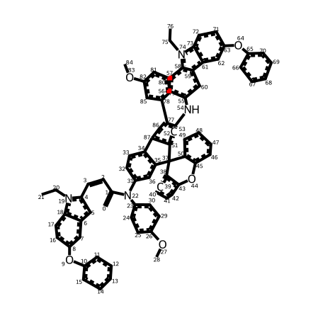 C=C(/C=C\c1cc2cc(Oc3ccccc3)ccc2n1CC)N(c1ccc(OC)cc1)c1ccc2c(c1)C1(c3ccccc3Oc3ccccc31)c1cc(Nc3ccc4c(c3)c3cc(Oc5ccccc5)ccc3n4CC)c(-c3cccc(OC)c3)cc1-2